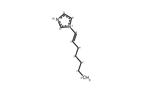 CCCCCC=Cn1ccnc1